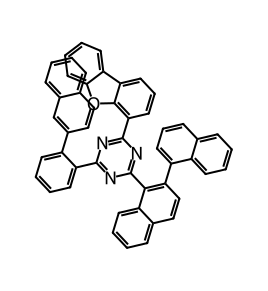 c1ccc(-c2nc(-c3c(-c4cccc5ccccc45)ccc4ccccc34)nc(-c3cccc4c3oc3ccccc34)n2)c(-c2ccc3ccccc3c2)c1